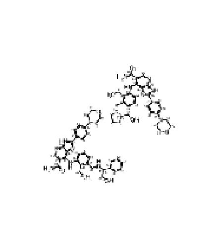 CCc1c(CN2CCC[C@@H]2CO)cccc1Nc1c(C(N)=O)cnc2[nH]c(-c3ccc(N4CCOCC4)cc3)nc12.CCc1c(CN[C@H](CO)c2ccccc2)cccc1Nc1c(C(N)=O)cnc2[nH]c(-c3ccc(N4CCOCC4)cc3)nc12